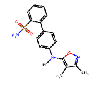 Cc1noc(N(c2ccc(-c3ccccc3S(N)(=O)=O)cc2)C(C)C)c1C